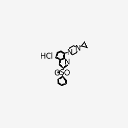 Cl.O=S(=O)(c1ccccc1)c1cnc2c(N3CCN(C4CC4)CC3)cccc2c1